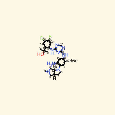 COc1cc(N2CC[C@@H]3CN(C)C[C@@H]32)c(N)cc1Nc1ncnc(Nc2cc(F)c(F)cc2C(C)(C)O)n1